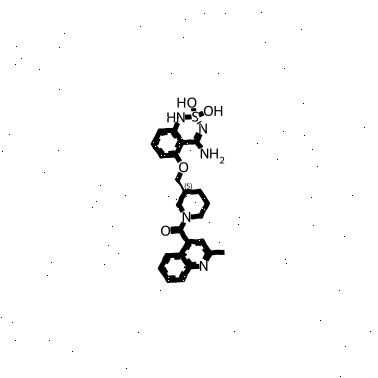 Cc1cc(C(=O)N2CCC[C@H](COc3cccc4c3C(N)=NS(O)(O)N4)C2)c2ccccc2n1